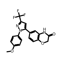 COc1ccc(-n2nc(C(F)(F)F)cc2-c2ccc3c(c2)NC(=O)CO3)cc1